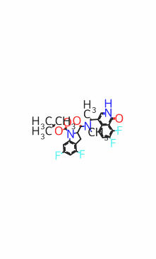 CC(c1c[nH]c(=O)c2c(F)c(F)ccc12)N(C)C(=O)C1Cc2c(F)cc(F)cc2N1C(=O)OC(C)(C)C